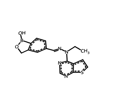 CCN(/N=C/c1ccc2c(c1)COB2O)c1ncnc2sccc12